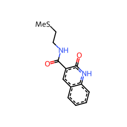 CSCCNC(=O)c1cc2ccccc2[nH]c1=O